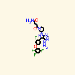 NC(=O)/C=C/C(=O)N1CCCC(n2nc(-c3ccc(Oc4cc(F)cc(F)c4F)cc3F)c3c(N)ncnc32)C1